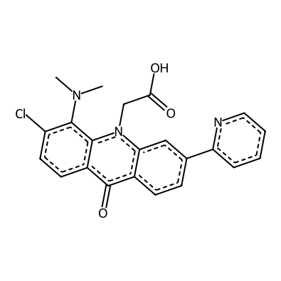 CN(C)c1c(Cl)ccc2c(=O)c3ccc(-c4ccccn4)cc3n(CC(=O)O)c12